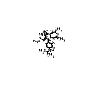 C=C(C)Nc1ccc(C/C(=C/CC)c2[nH]ccc2C2=CC(C)=NC(C)=CC2C)c(F)c1